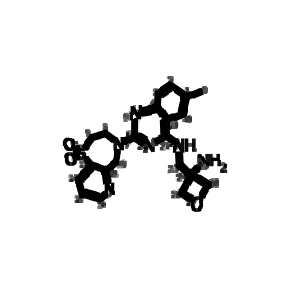 Cc1ccc2nc(N3CCS(=O)(=O)c4cccnc4C3)nc(NCC3(N)COC3)c2c1